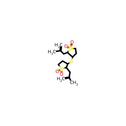 C=C(C)CC1C(SC2CCS(=O)(=O)C2CC(=C)C)CCS1(=O)=O